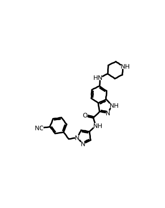 N#Cc1cccc(Cn2cc(NC(=O)c3n[nH]c4cc(NC5CCNCC5)ccc34)cn2)c1